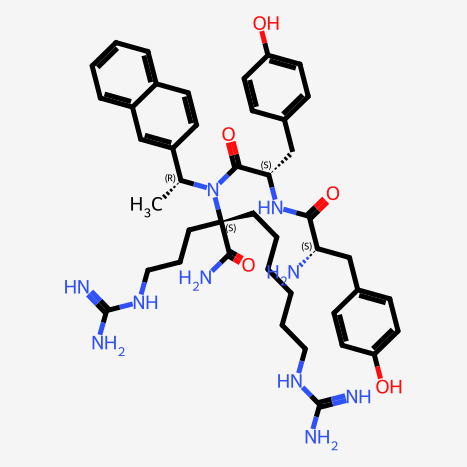 C[C@H](c1ccc2ccccc2c1)N(C(=O)[C@H](Cc1ccc(O)cc1)NC(=O)[C@@H](N)Cc1ccc(O)cc1)[C@@](CCCCCCNC(=N)N)(CCCNC(=N)N)C(N)=O